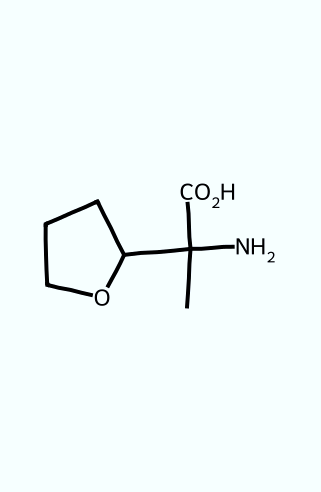 CC(N)(C(=O)O)C1CCCO1